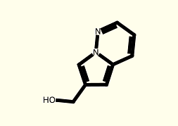 OCc1cc2cccnn2c1